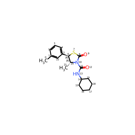 Cc1cccc([C@H]2SC(=O)N(C(=O)NC3CCCCC3)[C@@H]2C)c1